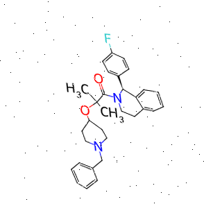 CC(C)(OC1CCN(Cc2ccccc2)CC1)C(=O)N1CCc2ccccc2[C@@H]1c1ccc(F)cc1